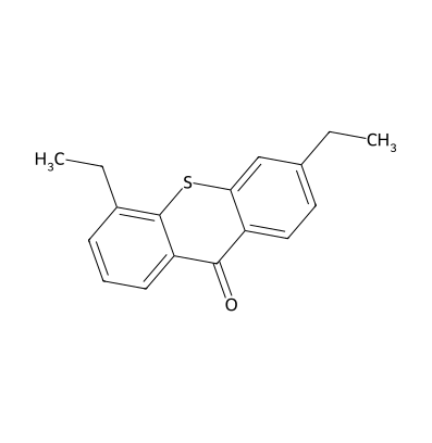 CCc1ccc2c(=O)c3cccc(CC)c3sc2c1